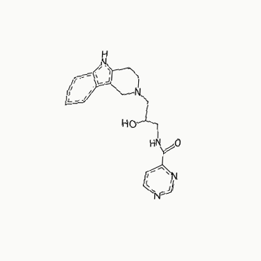 O=C(NCC(O)CN1CCc2[nH]c3ccccc3c2C1)c1ccncn1